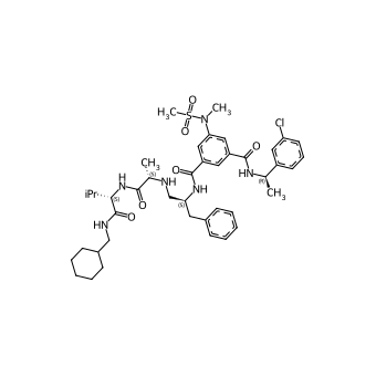 CC(C)[C@H](NC(=O)[C@H](C)NC[C@H](Cc1ccccc1)NC(=O)c1cc(C(=O)N[C@H](C)c2cccc(Cl)c2)cc(N(C)S(C)(=O)=O)c1)C(=O)NCC1CCCCC1